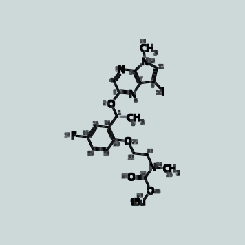 C[C@@H](Oc1cnc2c(n1)c(I)cn2C)c1cc(F)ccc1OCCN(C)C(=O)OC(C)(C)C